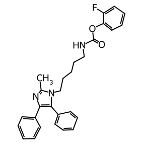 Cc1nc(-c2ccccc2)c(-c2ccccc2)n1CCCCCNC(=O)Oc1ccccc1F